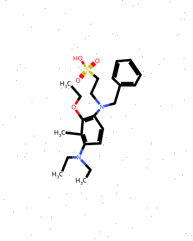 CCOc1c(N(CCS(=O)(=O)O)Cc2ccccc2)ccc(N(CC)CC)c1C